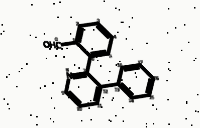 O=Cc1ccccc1-c1ncccc1-c1ccccc1